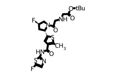 Cc1sc([C@@H]2C[C@@H](F)CN2C(=O)CNCC(=O)OC(C)(C)C)cc1C(=O)Nc1ncc(F)s1